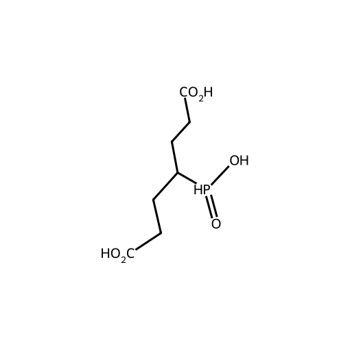 O=C(O)CCC(CCC(=O)O)[PH](=O)O